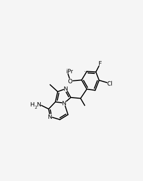 Cc1nc(C(C)c2cc(Cl)c(F)[c]c2OC(C)C)n2ccnc(N)c12